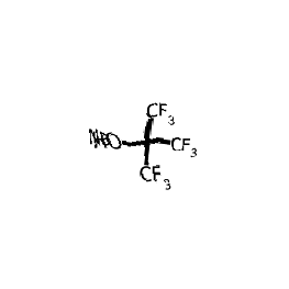 OC(C(F)(F)F)(C(F)(F)F)C(F)(F)F.[Na]